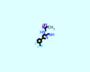 Cc1nonc1CNc1cc(-c2ccc(F)c(C(F)F)c2)cnc1C=N